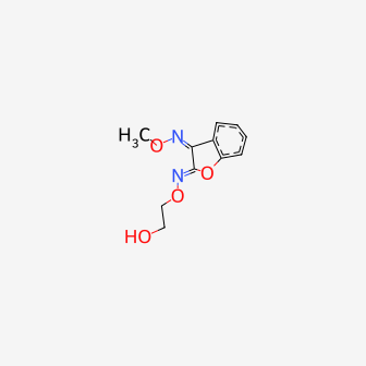 CON=C1C(=NOCCO)Oc2ccccc21